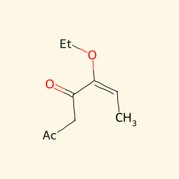 CC=C(OCC)C(=O)CC(C)=O